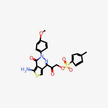 COc1ccc(-n2nc(C(=O)COS(=O)(=O)c3ccc(C)cc3)c3csc(N)c3c2=O)cc1